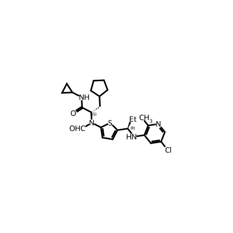 CC[C@@H](Nc1cc(Cl)cnc1C)c1ccc(N(C=O)[C@@H](CC2CCCC2)C(=O)NC2CC2)s1